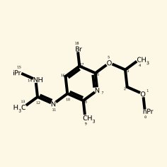 CCCOCC(C)Oc1nc(C)c(N=C(C)NC(C)C)cc1Br